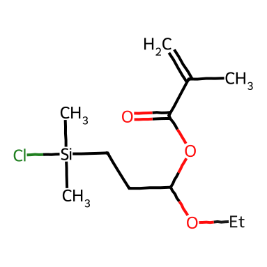 C=C(C)C(=O)OC(CC[Si](C)(C)Cl)OCC